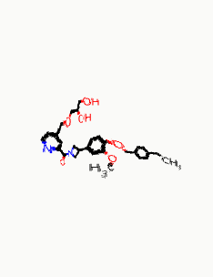 CCc1ccc(COc2ccc(C3CN(C(=O)c4cc(COCC(O)CO)ccn4)C3)cc2OC)cc1